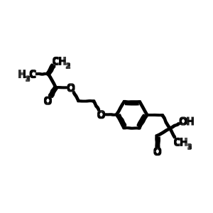 C=C(C)C(=O)OCCOc1ccc(CC(C)(O)C=O)cc1